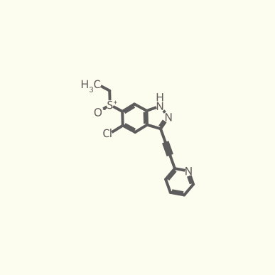 CC[S+]([O-])c1cc2[nH]nc(C#Cc3ccccn3)c2cc1Cl